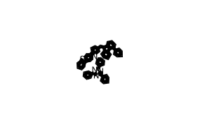 c1ccc(-c2nc(-c3ccccc3)nc(-c3cccc(-n4c5cc(CC6c7ccccc7-c7c(-c8ccccc8)cccc76)ccc5c5cc6sc7ccccc7c6cc54)c3)n2)cc1